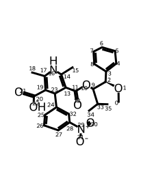 CO[C@H](c1ccccc1)C(OC(=O)C1=C(C)NC(C)=C(C(=O)O)C1c1cccc([N+](=O)[O-])c1)C(C)C